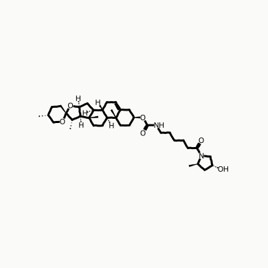 C[C@@H]1CC[C@@]2(OC1)O[C@H]1C[C@H]3[C@@H]4CC=C5C[C@@H](OC(=O)NCCCCCC(=O)N6C[C@H](O)C[C@H]6C)CC[C@]5(C)[C@H]4CC[C@]3(C)[C@H]1[C@@H]2C